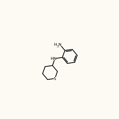 Nc1ccccc1NC1CCCSC1